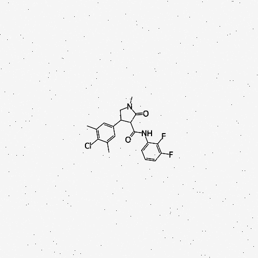 Cc1cc(C2CN(C)C(=O)C2C(=O)Nc2cccc(F)c2F)cc(C)c1Cl